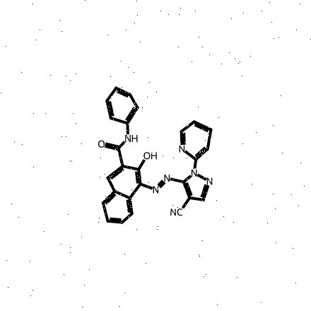 N#Cc1cnn(-c2ccccn2)c1/N=N/c1c(O)c(C(=O)Nc2ccccc2)cc2ccccc12